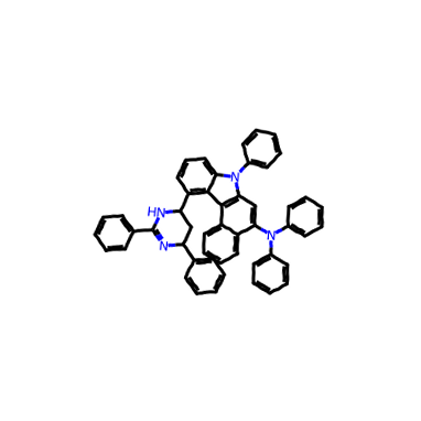 c1ccc(C2=NC(c3ccccc3)CC(c3cccc4c3c3c5ccccc5c(N(c5ccccc5)c5ccccc5)cc3n4-c3ccccc3)N2)cc1